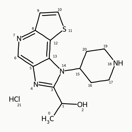 CC(O)c1nc2cnc3ccsc3c2n1C1CCNCC1.Cl